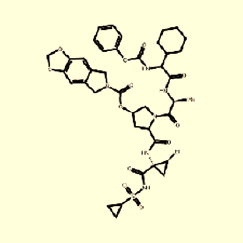 CC[C@H]1C[C@@]1(NC(=O)C1C[C@@H](OC(=O)N2Cc3cc4c(cc3C2)OCO4)CN1C(=O)[C@@H](NC(=O)[C@@H](NC(=O)Oc1ccccc1)C1CCCCC1)C(C)(C)C)C(=O)NS(=O)(=O)C1CC1